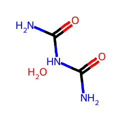 NC(=O)NC(N)=O.O